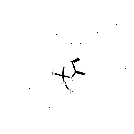 C=CC(=C)SC(C)(Br)OC(C)(C)C